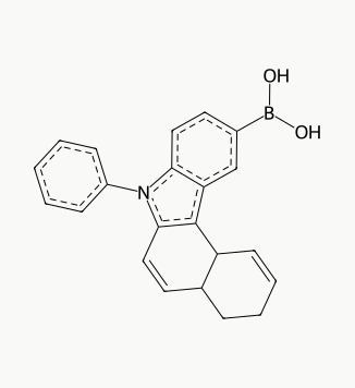 OB(O)c1ccc2c(c1)c1c(n2-c2ccccc2)C=CC2CCC=CC12